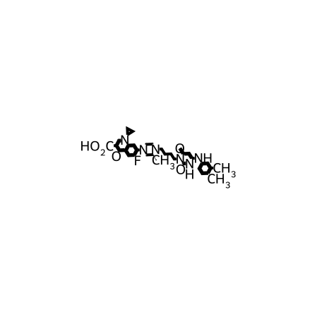 Cc1ccc(Nc2cc(=O)n(CCCCN3CCN(c4cc5c(cc4F)c(=O)c(C(=O)O)cn5C4CC4)C[C@H]3C)c(=O)[nH]2)cc1C